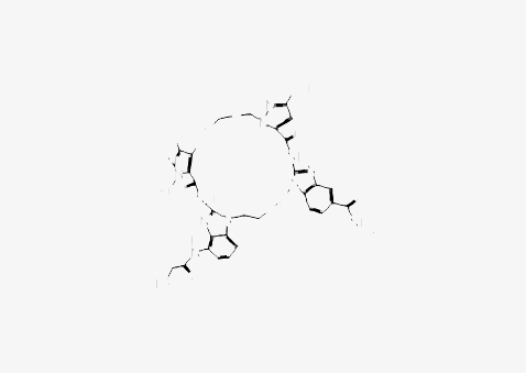 CCn1nc(C)c2c1C(=O)Nc1nc3c(NC(=O)CO)cccc3n1CCCCn1c(nc3cc(C(N)=O)ccc31)NC(=O)c1cc(C)nn1CCCCC2